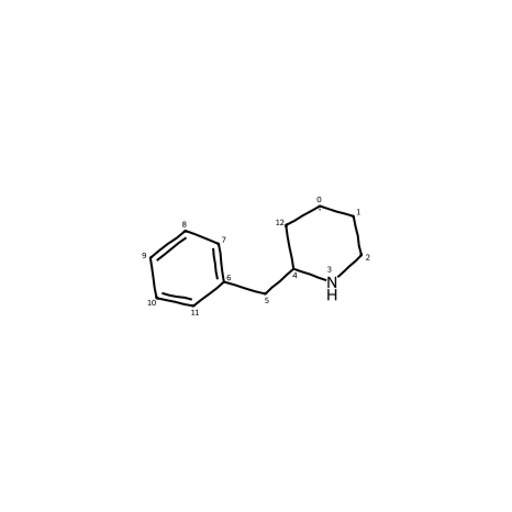 [CH]1CCNC(Cc2ccccc2)C1